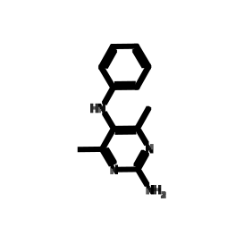 Cc1nc(N)nc(C)c1Nc1ccccc1